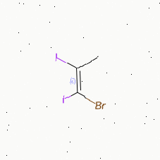 C/C(I)=C(\Br)I